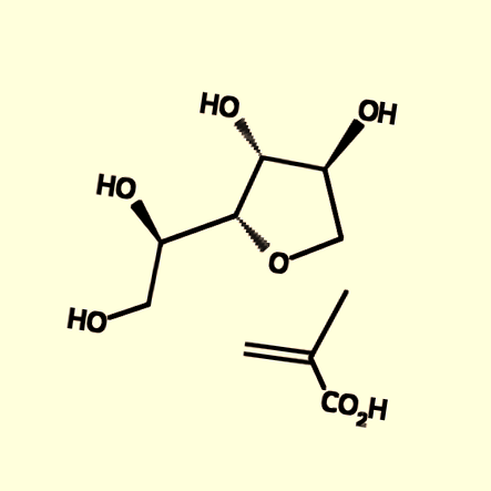 C=C(C)C(=O)O.OC[C@@H](O)[C@H]1OC[C@H](O)[C@H]1O